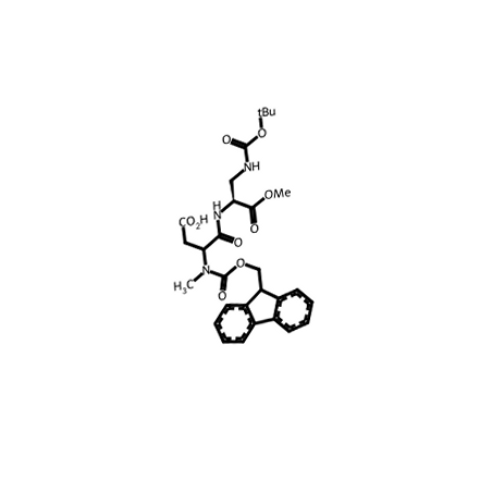 COC(=O)[C@H](CNC(=O)OC(C)(C)C)NC(=O)C(CC(=O)O)N(C)C(=O)OCC1c2ccccc2-c2ccccc21